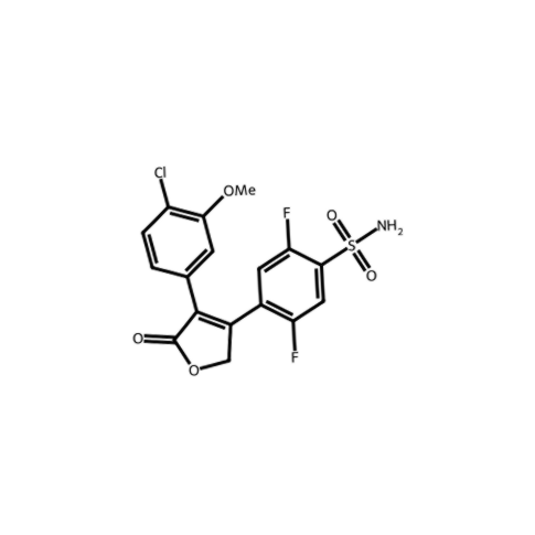 COc1cc(C2=C(c3cc(F)c(S(N)(=O)=O)cc3F)COC2=O)ccc1Cl